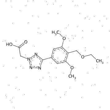 CCOCc1c(OC)cc(-c2nnn(CC(=O)O)n2)cc1OC